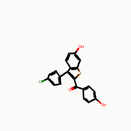 O=C(c1ccc(O)cc1)c1sc2cc(O)ccc2c1-c1ccc(Cl)cc1